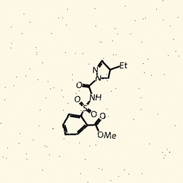 CCC1C=NN(C(=O)NS(=O)(=O)c2ccccc2C(=O)OC)C1